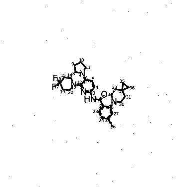 O=C(Nc1ccc(N2CCCC2)c(N2CCC(F)(F)CC2)n1)c1ccc(I)cc1N1CCC2(CC1)CC2